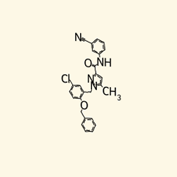 Cc1cc(C(=O)Nc2cccc(C#N)c2)nn1Cc1cc(Cl)ccc1OCc1ccccc1